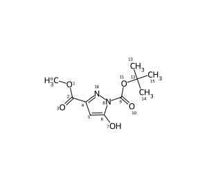 COC(=O)c1cc(O)n(C(=O)OC(C)(C)C)n1